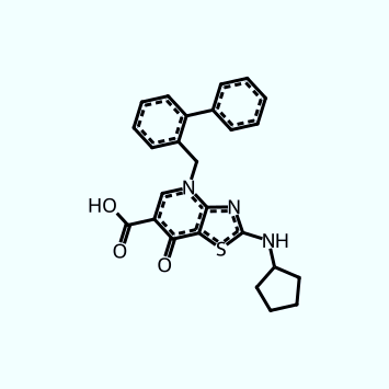 O=C(O)c1cn(Cc2ccccc2-c2ccccc2)c2nc(NC3CCCC3)sc2c1=O